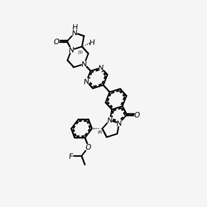 CC(F)Oc1ccccc1[C@H]1CCn2c(=O)c3ccc(-c4cnc(N5CCN6C(=O)NC[C@H]6C5)nc4)cc3n21